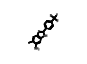 Cc1cc2nc(-c3ccc(C(F)(F)F)cc3)[nH]c2cc1N